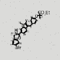 CCOC(=O)C(C)(C)Oc1ccc(Cc2c(C)n(C)c3cc(C(=O)N[C@@H](C)c4ccc(C(C)C)cc4)ccc23)cc1